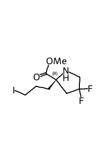 COC(=O)[C@@]1(CCCI)CC(F)(F)CN1